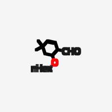 CCCCCCOC1CC(C)(C)C=CC1C=O